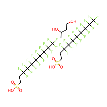 CC(O)CCO.O=S(=O)(O)CCC(F)(F)C(F)(F)C(F)(F)C(F)(F)C(F)(F)C(F)(F)C(F)(F)C(F)(F)F.O=S(=O)(O)CCC(F)(F)C(F)(F)C(F)(F)C(F)(F)C(F)(F)C(F)(F)C(F)(F)C(F)(F)F